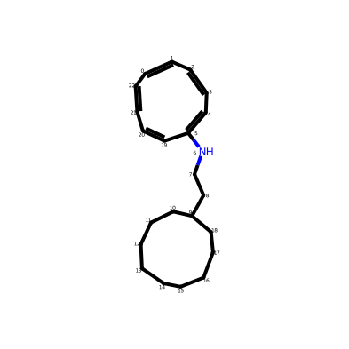 c1ccccc(NCCC2CCCCCCCCC2)cccc1